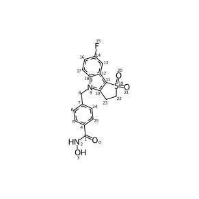 O=C(NO)c1ccc(Cn2c3c(c4cc(F)ccc42)S(=O)(=O)CC3)cc1